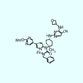 CCN(Cc1ccccc1)C(=O)N(c1ccc(-c2cnc(OC)nc2)cn1)[C@]1(C)CC[C@H](Nc2ncc(C#N)c(NC3COC3)n2)CC1